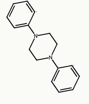 [c]1ccccc1N1CCN(c2[c]cccc2)CC1